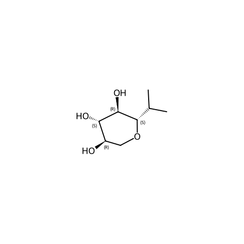 CC(C)[C@@H]1OC[C@@H](O)[C@H](O)[C@H]1O